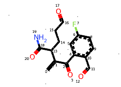 C=C(C(=O)c1cc(F)ccc1C=O)C(CCC=O)C(N)=O